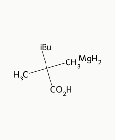 CCC(C)C(C)(C)C(=O)O.[MgH2]